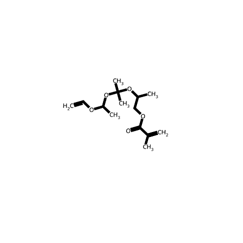 C=COC(C)OC(C)(C)OC(C)COC(=O)C(=C)C